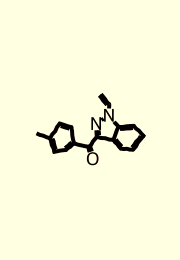 C=Cn1nc(C(=O)c2ccc(C)cc2)c2ccccc21